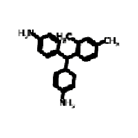 Cc1ccc(C(c2ccc(N)cc2)C2C=CC(N)=CC2)c(C)c1